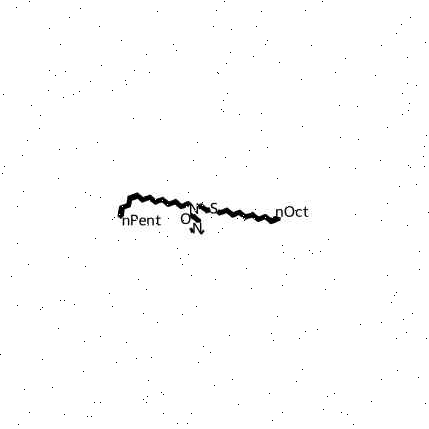 CCCCC/C=C\C/C=C\CCCCCCCCN(CCSCCCCCCCC/C=C\CCCCCCCC)C(=O)CN(C)C